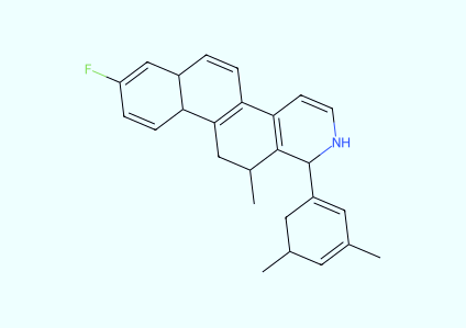 CC1=CC(C)CC(C2NC=CC3=C2C(C)CC2=C3C=CC3C=C(F)C=CC23)=C1